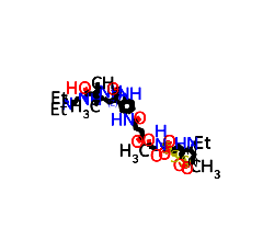 CCN[C@H]1C[C@H](C)S(=O)(=O)c2sc(S(=O)(=O)NC(=O)C(C)OC(=O)CCC(=O)Nc3ccc4c(c3)/C(=C/c3[nH]c(C)c(C(O)NCCN(CC)CC)c3C)C(=O)N4)cc21